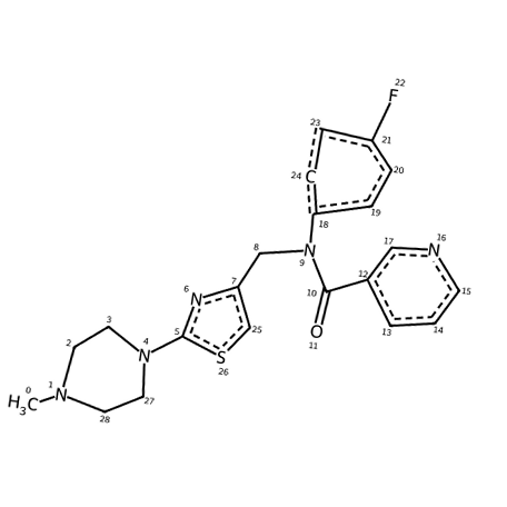 CN1CCN(c2nc(CN(C(=O)c3cccnc3)c3ccc(F)cc3)cs2)CC1